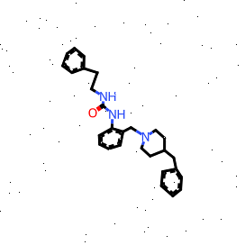 O=C(NCCc1ccccc1)Nc1ccccc1CN1CCC(Cc2ccccc2)CC1